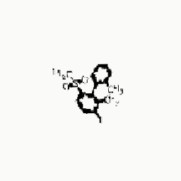 Cc1ccccc1-c1c(S(C)(=O)=O)ccc(I)c1C